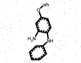 CCCOc1ccc(Nc2ccccc2)c(N)c1